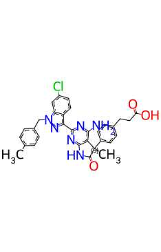 Cc1ccc(Cn2nc(-c3nc(N)c4c(n3)NC(=O)[C@@]4(C)c3ccc(CCC(=O)O)cc3)c3ccc(Cl)cc32)cc1